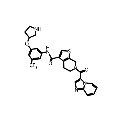 O=C(Nc1cc(OC2CCNC2)cc(C(F)(F)F)c1)c1csc2c1CCN(C(=O)c1cnc3ccccn13)C2